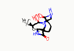 CC(C)C(O)N1C2(CCC13CNC3=O)CNC2=O